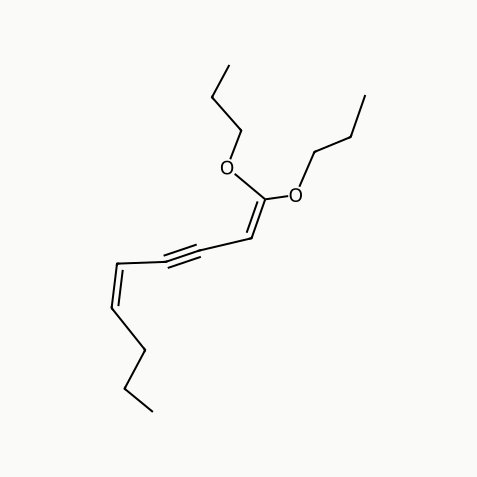 CCC/C=C\C#CC=C(OCCC)OCCC